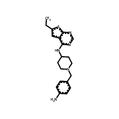 Nc1ccc(CN2CCC(Nc3ncnc4sc(CC(F)(F)F)cc34)CC2)cc1